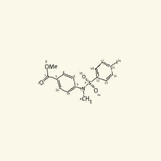 COC(=O)c1ccc(N(C)S(=O)(=O)c2ccc(I)cc2)cc1